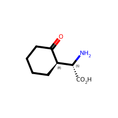 N[C@H](C(=O)O)[C@H]1CCCCC1=O